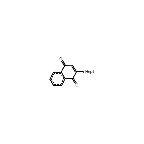 CCCCCCCC1=CC(=O)c2ccccc2C1=O